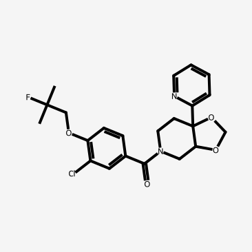 CC(C)(F)COc1ccc(C(=O)N2CCC3(c4ccccn4)OCOC3C2)cc1Cl